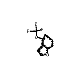 FC(F)(F)Oc1cccc2oc[c]c12